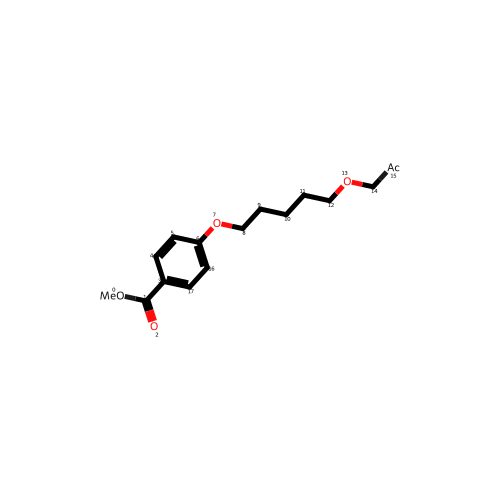 COC(=O)c1ccc(OCCCCCOCC(C)=O)cc1